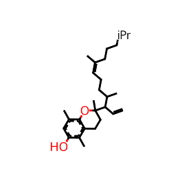 C=CC(C(C)CCC=C(C)CCCC(C)C)C1(C)CCc2c(C)c(O)cc(C)c2O1